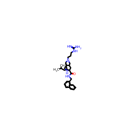 CC(C)CC1C2C3CNC1(C(=O)NCc1cccc4ccccc14)CC3CN2CCCNC(=N)N